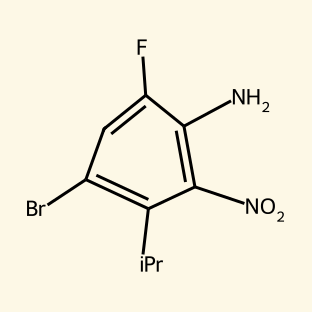 CC(C)c1c(Br)cc(F)c(N)c1[N+](=O)[O-]